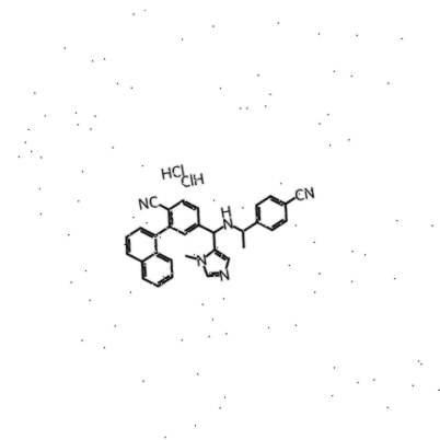 CC(NC(c1ccc(C#N)c(-c2cccc3ccccc23)c1)c1cncn1C)c1ccc(C#N)cc1.Cl.Cl